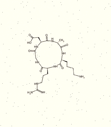 C[C@H]1NC(=O)[C@H](CC(=O)O)NC(=O)CNC(=O)[C@H](CCCNC(=N)N)NC(=O)[C@H](CCCCN)NC1=O